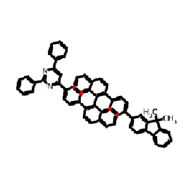 CC1(C)c2ccccc2-c2ccc(-c3ccc(-c4ccc5ccccc5c4-c4c(-c5ccc(-c6cc(-c7ccccc7)nc(-c7ccccc7)n6)cc5)ccc5ccccc45)cc3)cc21